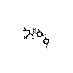 Cc1cc(Oc2ccc(Cl)cc2)ccc1NC(=O)C(C#N)=C(O)C1CC1